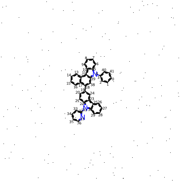 c1ccc(-n2c3ccccc3c3c4ccccc4c(-c4ccc5c(c4)c4ccccc4n5-c4ccccn4)cc32)cc1